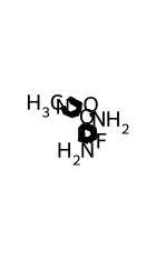 CN1C=CC(Oc2ccc(N)c(F)c2)=CC1.NC=O